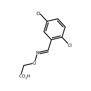 O=C(O)CO/N=C/c1cc(Cl)ccc1Cl